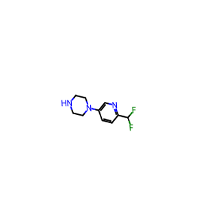 FC(F)c1ccc(N2CCNCC2)cn1